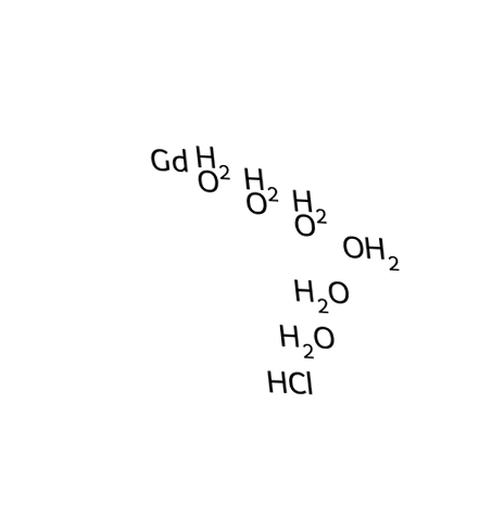 Cl.O.O.O.O.O.O.[Gd]